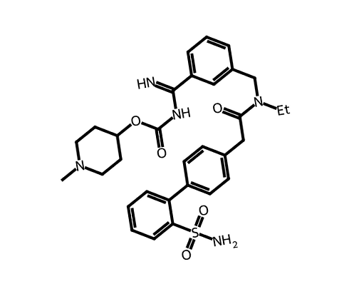 CCN(Cc1cccc(C(=N)NC(=O)OC2CCN(C)CC2)c1)C(=O)Cc1ccc(-c2ccccc2S(N)(=O)=O)cc1